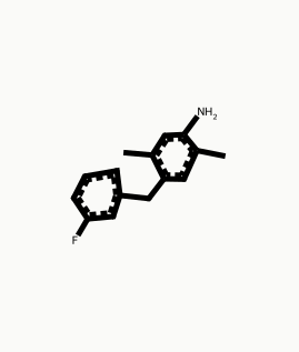 Cc1cc(Cc2cccc(F)c2)c(C)cc1N